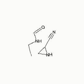 CCNC=O.N#CC1CN1